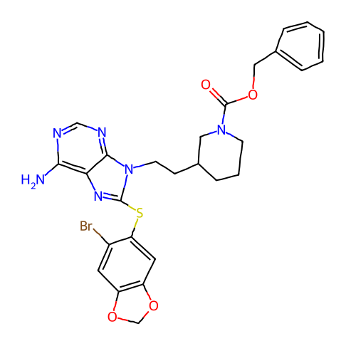 Nc1ncnc2c1nc(Sc1cc3c(cc1Br)OCO3)n2CCC1CCCN(C(=O)OCc2ccccc2)C1